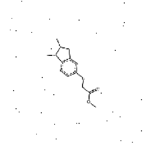 COC(=O)COc1ccc2c(c1)CC(C)C2C